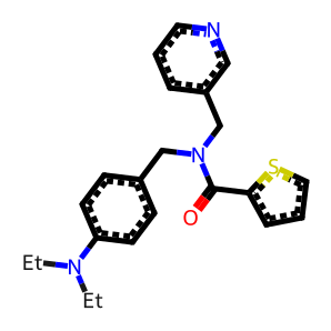 CCN(CC)c1ccc(CN(Cc2cccnc2)C(=O)c2cccs2)cc1